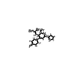 CC(C)c1nc(-c2cccs2)cc(-c2ccc(F)cc2)c1C=C(Br)Br